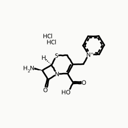 Cl.Cl.N[C@@H]1C(=O)N2C(C(=O)O)=C(C[n+]3ccccc3)CS[C@H]12